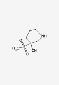 CS(=O)(=O)C1(C#N)CCCNC1